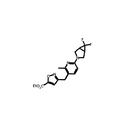 CCOC(=O)c1cc(Cc2ccc(N3CC4C(C3)C4(F)F)nc2C)no1